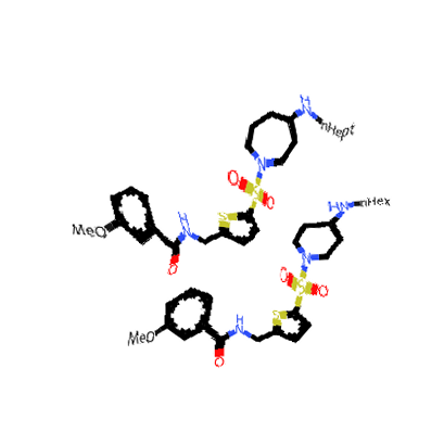 CCCCCCCNC1CCCN(S(=O)(=O)c2ccc(CNC(=O)c3cccc(OC)c3)s2)CC1.CCCCCCNC1CCN(S(=O)(=O)c2ccc(CNC(=O)c3cccc(OC)c3)s2)CC1